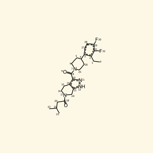 CCc1c(C2CCN(C(=O)c3n[nH]c4c3CCN(C(=O)CC(C)C)C4)CC2)ccc(F)c1F